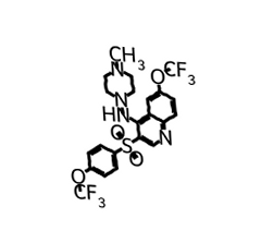 CN1CCN(Nc2c(S(=O)(=O)c3ccc(OC(F)(F)F)cc3)cnc3ccc(OC(F)(F)F)cc23)CC1